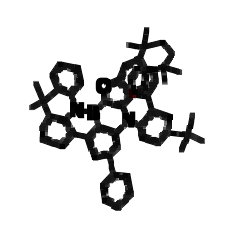 CC(C)(C)c1ccc(N2c3cc(-c4ccccc4)cc4c3B(c3oc5cc6c(cc5c32)C(C)(C)CCC6(C)C)N2c3ccccc3C(C)(C)c3cccc-4c32)c(-c2ccccc2)c1